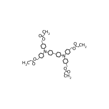 C=CC(=O)OCc1ccc(N(c2ccc(COC(=O)C=C)cc2)c2ccc(-c3ccc(N(c4ccc(COC(=O)C=C)cc4)c4ccc(COC(=O)C=C)cc4)cc3)cc2)cc1